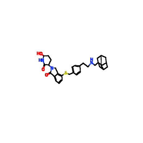 O=C1NC(O)CCC1N1Cc2c(SCc3ccc(CCNCC45CC6CC(CC(C6)C4)C5)cc3)cccc2C1=O